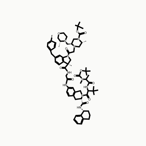 CC(C(=O)NC(C(=O)N1Cc2cc(NC(=O)CNC(=O)[C@]3(C)CN(C(=O)CN4C[C@@H](C)N(C(=O)OC(C)(C)C)C[C@@H]4CN4CCOC[C@H]4C)c4cc(Cc5ccc(F)cc5)ccc43)ccc2C[C@H]1C(=O)N[C@@H]1CCCc2ccccc21)C(C)(C)C)N(C)C(=O)OC(C)(C)C